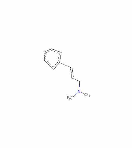 FC(F)(F)N(CC=Cc1ccccc1)C(F)(F)F